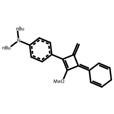 C=C1C(=C2C=CCC=C2)C(OC)=C1c1ccc(N(CCCC)CCCC)cc1